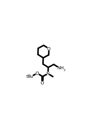 CN(C(=O)OC(C)(C)C)C(CN)CC1CCCOC1